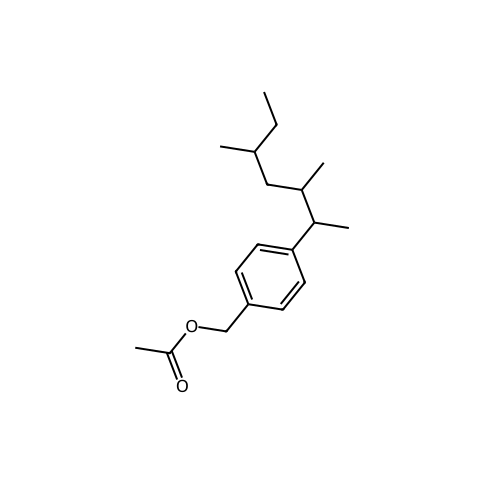 CCC(C)CC(C)C(C)c1ccc(COC(C)=O)cc1